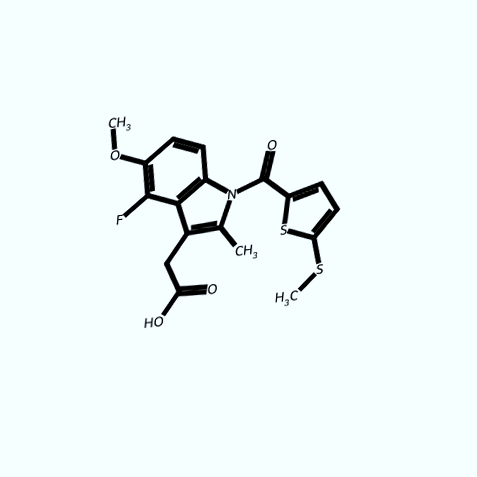 COc1ccc2c(c1F)c(CC(=O)O)c(C)n2C(=O)c1ccc(SC)s1